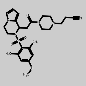 COc1cc(C)c(S(=O)(=O)N2CCn3cccc3C2CC(=O)N2CCN(CCC#N)CC2)c(C)c1